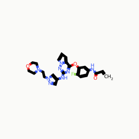 C=CC(=O)Nc1ccc(F)c(Oc2nc(Nc3cnn(CCN4CCOCC4)c3)nn3cccc23)c1